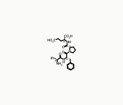 CC(C)[C@H](N)C(=O)N[C@@H](Cc1ccccc1)C(=O)N1CCC[C@H]1C(=O)N[C@@H](CCC(=O)O)C(=O)O